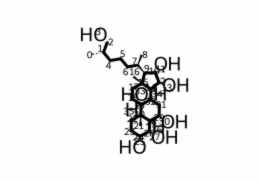 C[C@H](CO)CCC[C@@H](C)[C@H]1[C@@H](O)[C@@H](O)[C@@H]2[C@]1(C)CC[C@@H]1[C@@]3(C)CC[C@H](O)[C@H](O)[C@@H]3[C@@H](O)C[C@]12O